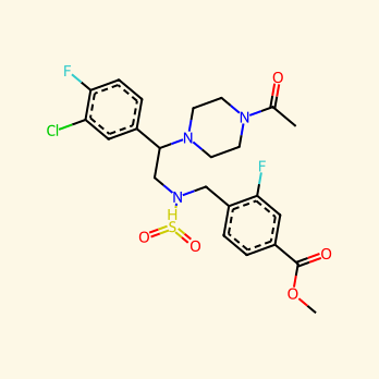 COC(=O)c1ccc(CN(CC(c2ccc(F)c(Cl)c2)N2CCN(C(C)=O)CC2)[SH](=O)=O)c(F)c1